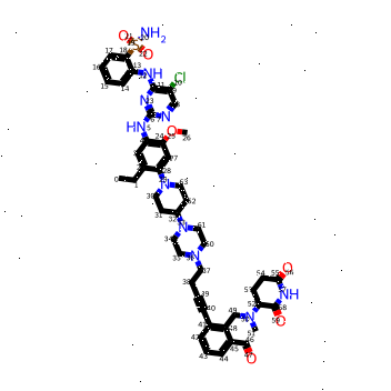 CCc1cc(Nc2ncc(Cl)c(Nc3ccccc3S(N)(=O)=O)n2)c(OC)cc1N1CCC(N2CCN(CCC#Cc3cccc(C=O)c3CN(C)C3CCC(=O)NC3=O)CC2)CC1